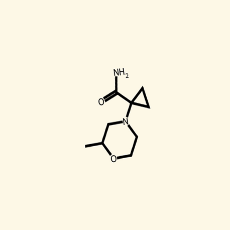 CC1CN(C2(C(N)=O)CC2)CCO1